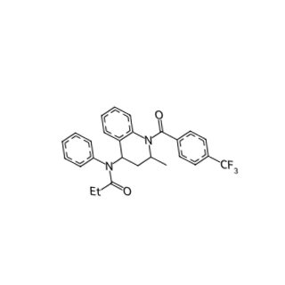 CCC(=O)N(c1ccccc1)C1CC(C)N(C(=O)c2ccc(C(F)(F)F)cc2)c2ccccc21